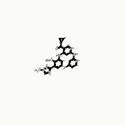 COc1c(Nc2cc(Nc3cc(F)ccn3)ncc2C(=O)C2CC2)cccc1-c1ncn(C)n1